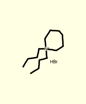 Br.CCCC[N+]1(CCCC)CCCCCC1